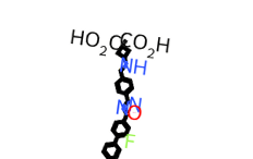 O=C(O)C1(C(=O)O)CC(NCc2ccc(-c3noc(-c4ccc(-c5ccccc5)c(F)c4)n3)cc2)C1